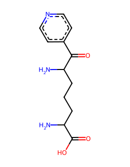 NC(CCCC(N)C(=O)c1ccncc1)C(=O)O